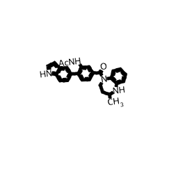 CC(=O)Nc1cc(C(=O)N2CCC(C)Nc3ccccc32)ccc1-c1ccc2[nH]ccc2c1